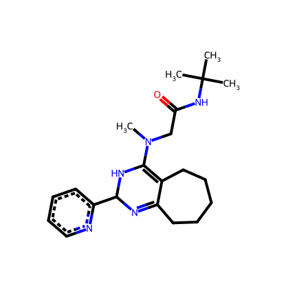 CN(CC(=O)NC(C)(C)C)C1=C2CCCCCC2=NC(c2ccccn2)N1